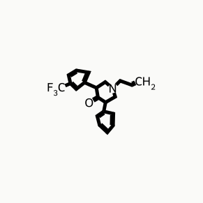 C=CCN1CC(c2ccccc2)C(=O)C(c2cccc(C(F)(F)F)c2)C1